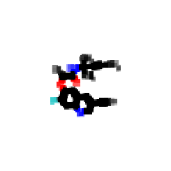 C#Cc1cnc2cc(F)c(OC(CC)C(=O)NC(C)(C)C#CC)cc2c1